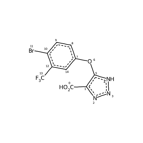 O=C(O)c1nn[nH]c1Oc1ccc(Br)c(C(F)(F)F)c1